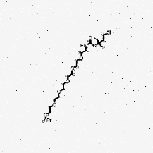 CCCOCCOCCOCCOCCOCCOCCNC(=O)OC(C)(C)CCCl